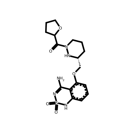 NC1=NS(=O)(=O)Nc2cccc(OC[C@H]3CCCN(C(=O)C4CCCO4)N3)c21